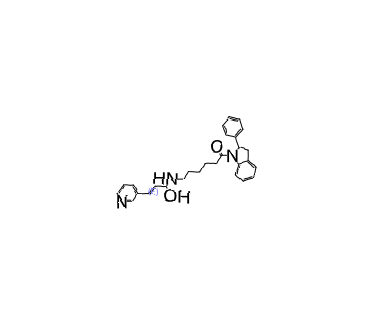 O=C(CCCCCNC(O)/C=C/c1cccnc1)N1c2ccccc2CC1c1ccccc1